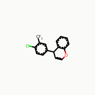 FC(F)(F)c1cc(C2C=COc3ccccc32)ccc1Cl